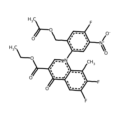 CCOC(=O)c1cn(-c2cc([N+](=O)[O-])c(F)cc2COC(C)=O)c2c(C)c(F)c(F)cc2c1=O